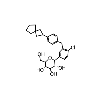 OC[C@H]1OC(c2ccc(Cl)c(Cc3ccc(C4CC5(CCCC5)C4)cc3)c2)[C@H](O)[C@@H](O)[C@@H]1O